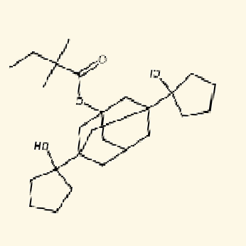 CCC(C)(C)C(=O)OC12CC3CC(C4(O)CCCC4)(C1)CC(C1(O)CCCC1)(C3)C2